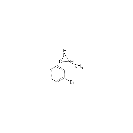 Brc1ccccc1.C[SH]1NO1